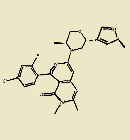 Cc1nc2cc(N3C[C@@H](c4cnn(C)c4)OC[C@@H]3C)nc(-c3ccc(Cl)cc3F)c2c(=O)n1C